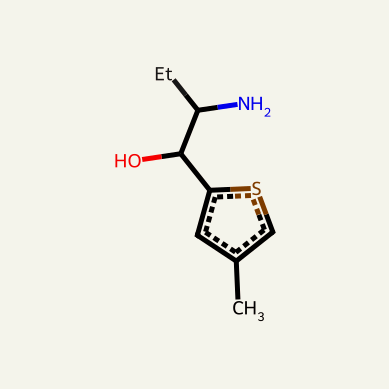 CCC(N)C(O)c1cc(C)cs1